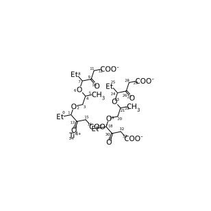 CCC(OCC(C)OC(CC)C(=O)CC(=O)[O-])C(=O)CC(=O)[O-].CCC(OCC(C)OC(CC)C(=O)CC(=O)[O-])C(=O)CC(=O)[O-].[Ti+4]